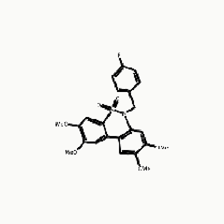 COc1cc2c(cc1OC)N(Cc1ccc(F)cc1)S(=O)(=O)c1cc(OC)c(OC)cc1-2